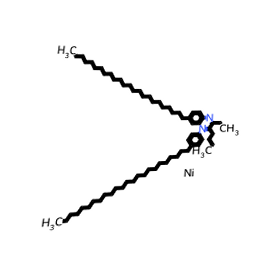 CCCCCCCCCCCCCCCCCCCCCCCCc1ccc(N=C(CC)C(CCCC)=Nc2ccc(CCCCCCCCCCCCCCCCCCCCCCCC)cc2)cc1.[Ni]